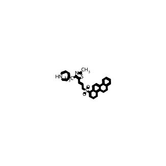 C1=CC=CNC=C1.Cc1nc(C)c(C=CCS(=O)(=O)C2=CCCc3c2ccc2c3CCc3ccccc3-2)s1